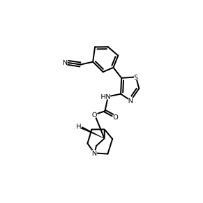 N#Cc1cccc(-c2scnc2NC(=O)O[C@H]2CN3CCC2CC3)c1